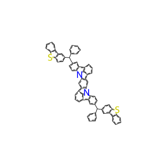 c1ccc(C(c2ccc3sc4ccccc4c3c2)c2ccc3c(c2)c2cccc4c5cc6c(cc5n3c24)c2cccc3c4cc(C(c5ccccc5)c5ccc7sc8ccccc8c7c5)ccc4n6c32)cc1